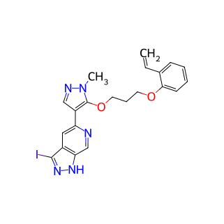 C=Cc1ccccc1OCCCOc1c(-c2cc3c(I)n[nH]c3cn2)cnn1C